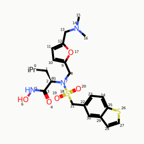 CC(C)C[C@H](C(=O)NO)N(Cc1ccc(CN(C)C)o1)S(=O)(=O)Cc1ccc2sccc2c1